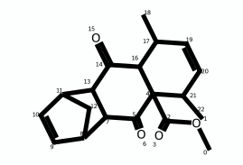 COC(=O)C12C(=O)C3C4C=CC(C4)C3C(=O)C1C(C)C=CC2C